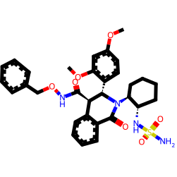 COc1ccc([C@H]2[C@H](C(=O)NOCc3ccccc3)c3ccccc3C(=O)N2[C@H]2CCCC[C@@H]2NS(N)(=O)=O)c(OC)c1